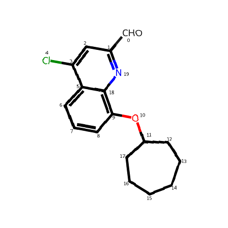 O=Cc1cc(Cl)c2cccc(OC3CCCCCC3)c2n1